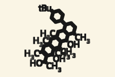 CC1=C(C(C)O)C(O)C2(C)C(C)C3C(O)C4C(C)CCC(C5CCC(C(C)(C)C)CC5)C4CC3(C)CC2(C)C1